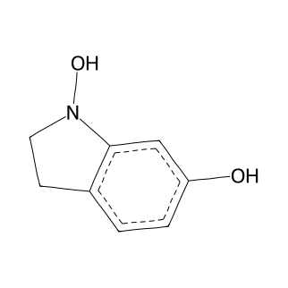 Oc1ccc2c(c1)N(O)CC2